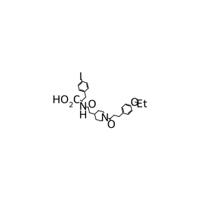 CCOc1ccc(CCC(=O)N2CCC(CC(=O)NC(Cc3ccc(I)cc3)C(=O)O)CC2)cc1